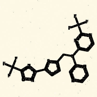 FC(F)(F)c1nccc(N(Cc2ccc(-c3noc(C(F)(F)F)n3)s2)c2cnccn2)n1